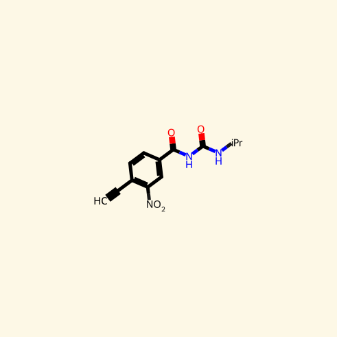 C#Cc1ccc(C(=O)NC(=O)NC(C)C)cc1[N+](=O)[O-]